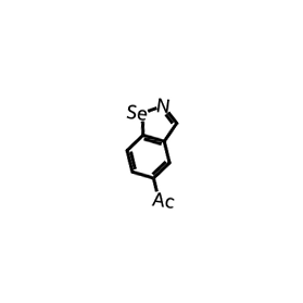 CC(=O)c1ccc2[se]ncc2c1